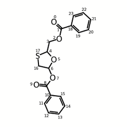 O=C(OCC1OC(OC(=O)c2ccccc2)CS1)c1ccccc1